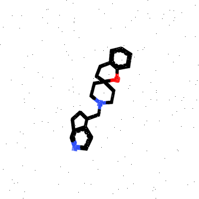 c1ccc2c(c1)CCC1(CCN(CC3CCc4cnccc43)CC1)O2